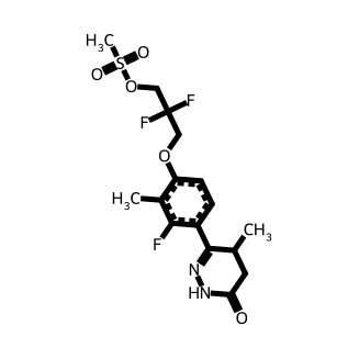 Cc1c(OCC(F)(F)COS(C)(=O)=O)ccc(C2=NNC(=O)CC2C)c1F